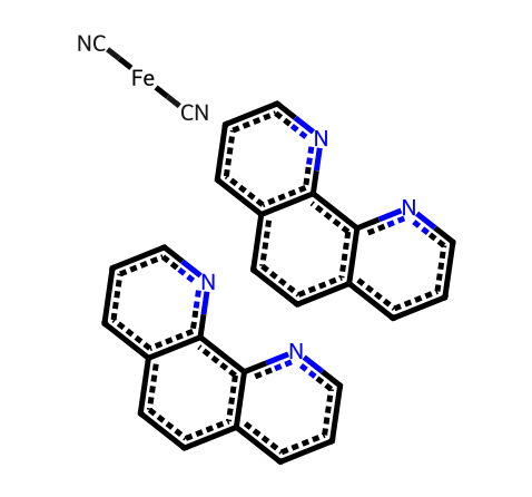 N#[C][Fe][C]#N.c1cnc2c(c1)ccc1cccnc12.c1cnc2c(c1)ccc1cccnc12